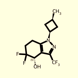 C[C@H]1C[C@@H](n2nc(C(F)(F)F)c3c2CCC(F)(F)[C@H]3O)C1